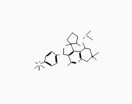 CC(C)c1nc2c(c3c1[C@@H](c1ccc(S(F)(F)(F)(F)F)cc1)OC31CCCC1I)C(O[Si](C)(C)C(C)(C)C)CC(C)(C)C2